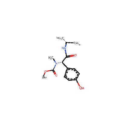 C[C@H](NC(=O)[C@H](c1ccc(O)cc1)N(C)C(=O)OC(C)(C)C)C(=O)O